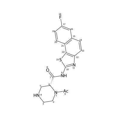 CC(=O)N1CCNC[C@@H]1C(=O)Nc1nc2ccc3cc(F)ccc3c2s1